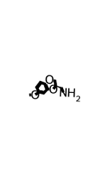 COc1ccc2c(c1)O[C@H](CN)CO2